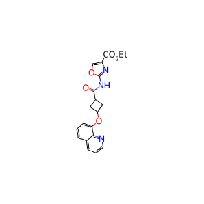 CCOC(=O)c1coc(NC(=O)C2CC(Oc3cccc4cccnc34)C2)n1